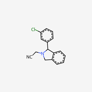 N#CCN1Cc2ccccc2C1c1cccc(Cl)c1